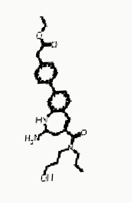 CCCN(CCCO)C(=O)C1=Cc2ccc(-c3ccc(CC(=O)OCC)cc3)cc2NC(N)C1